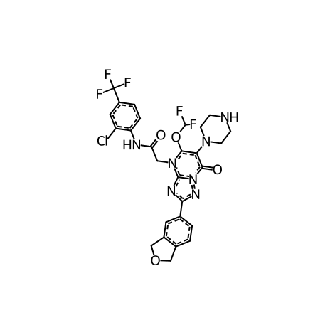 O=C(Cn1c(OC(F)F)c(N2CCNCC2)c(=O)n2nc(-c3ccc4c(c3)COC4)nc12)Nc1ccc(C(F)(F)F)cc1Cl